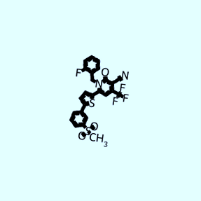 CS(=O)(=O)c1cccc(-c2ccc(-c3cc(C(F)(F)F)c(C#N)c(=O)n3Cc3ccccc3F)s2)c1